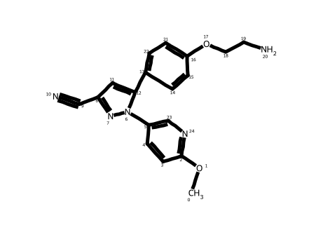 COc1ccc(-n2nc(C#N)cc2-c2ccc(OCCN)cc2)cn1